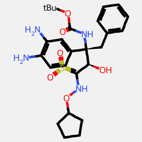 CC(C)(C)OC(=O)N[C@@](Cc1ccccc1)(c1ccc(N)c(N)c1)[C@@H](O)C(NOC1CCCC1)=S(=O)=O